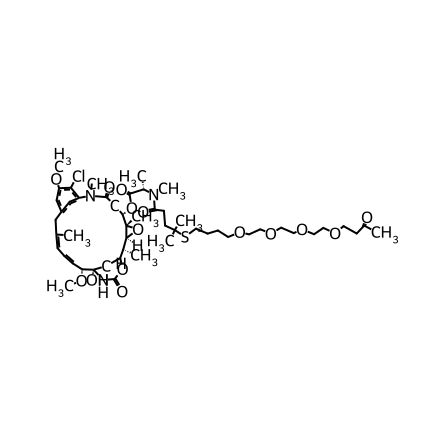 COc1cc2cc(c1Cl)N(C)C(=O)C[C@H](OC(=O)[C@H](C)N(C)C(=O)CCC(C)(C)SCCCCOCCOCCOCCOCCC(C)=O)[C@]1(C)O[C@H]1[C@H](C)[C@@H]1C[C@@](O)(NC(=O)O1)[C@H](OC)/C=C/C=C(\C)C2